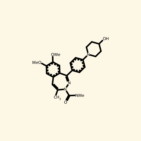 CNC(=O)N1N=C(c2ccc(N3CCC(O)CC3)cc2)c2cc(OC)c(OC)cc2C=C1C